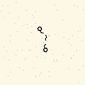 COc1ccc(CC(=O)OCCCC(=O)OC(=O)Cc2ccc(F)cc2F)cc1